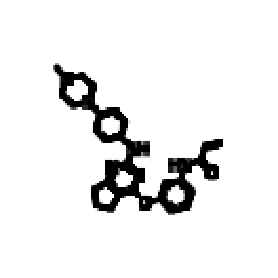 C=CC(=O)Nc1cccc(Oc2nc(Nc3ccc(N4CCN(C)CC4)cc3)nc3c2CC=C3)c1